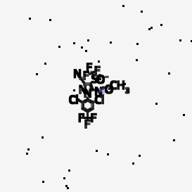 CO/C=N/c1c([S+]([O-])C(F)(F)F)c(C#N)nn1-c1c(Cl)cc(C(F)(F)F)cc1Cl